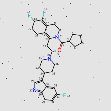 O=C(C1CCCC1)N1CCC2=C(F)C(F)CCC2=C1CCN1CCC(C2=CN=C3CC=C(F)C=C23)CC1